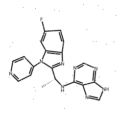 C[C@@H](Nc1ncnc2[nH]cnc12)c1nc2ccc(F)cc2n1-c1ccncc1